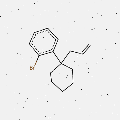 C=CCC1(c2ccccc2Br)CCCCC1